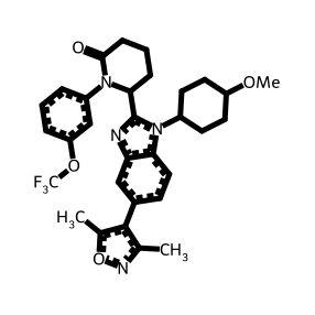 COC1CCC(n2c(C3CCCC(=O)N3c3cccc(OC(F)(F)F)c3)nc3cc(-c4c(C)noc4C)ccc32)CC1